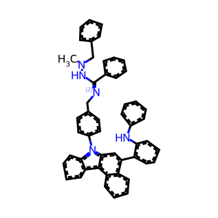 CN(Cc1ccccc1)N/C(=N\Cc1ccc(-n2c3ccccc3c3c4ccccc4c(-c4ccccc4Nc4ccccc4)cc32)cc1)c1ccccc1